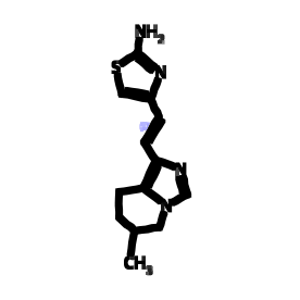 CC1CCc2c(/C=C/c3csc(N)n3)ncn2C1